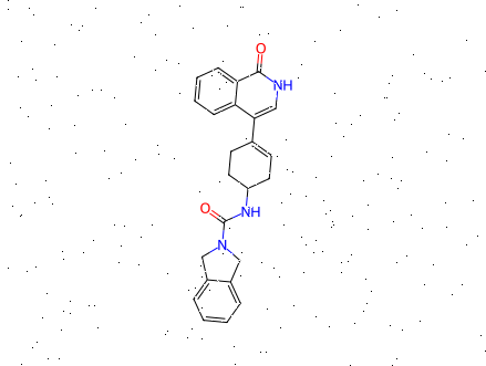 O=C(NC1CC=C(c2c[nH]c(=O)c3ccccc23)CC1)N1Cc2ccccc2C1